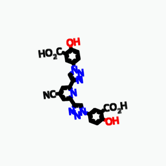 N#Cc1cc(-c2cn(-c3ccc(O)c(C(=O)O)c3)nn2)nc(-c2cn(-c3ccc(O)c(C(=O)O)c3)nn2)c1